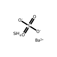 O=S(=O)([O-])[O-].[Ba+2].[SiH4]